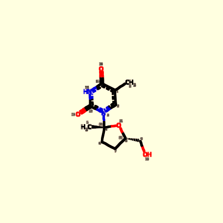 Cc1cn([C@@]2(C)CC[C@@H](CO)O2)c(=O)[nH]c1=O